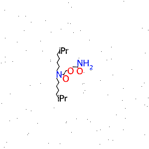 CC(C)CCCCCN(CCCCCC(C)C)C(=O)COCC(N)=O